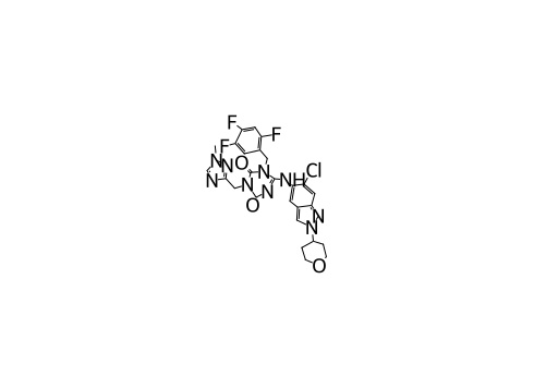 Cn1cnc(Cn2c(=O)nc(Nc3cc4cn(C5CCOCC5)nc4cc3Cl)n(Cc3cc(F)c(F)cc3F)c2=O)n1